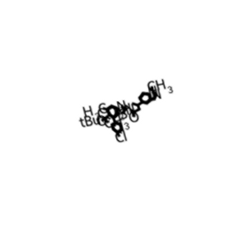 Cc1cc2nc(N3CC(c4ccc5c(cnn5C)c4)CC3=O)sc2c(-c2ccc(Cl)cc2)c1[C@](C)(OC(C)(C)C)C(=O)O